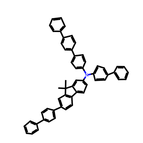 CC1(C)c2cc(-c3ccc(-c4ccccc4)cc3)ccc2-c2ccc(N(c3ccc(-c4ccccc4)cc3)c3ccc(-c4ccc(-c5ccccc5)cc4)cc3)cc21